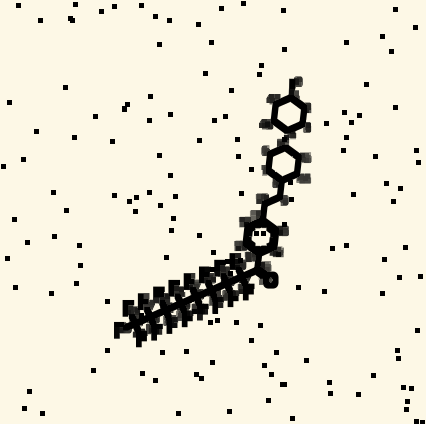 C[C@H]1CC[C@H](C2CCC(CCc3ccc(C(=O)C(F)(F)C(F)(F)C(F)(F)C(F)(F)C(F)(F)C(F)(F)C(F)(F)C(F)(F)F)cc3)CC2)CC1